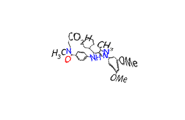 COc1cc(OC)cc(-n2cc(C(Nc3ccc(C(=O)N(C)CCC(=O)O)cc3)C3CCCCC3)c(C)n2)c1